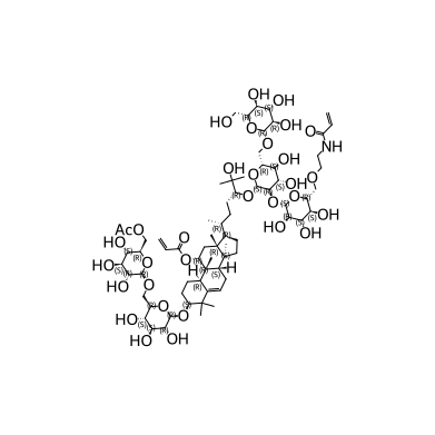 C=CC(=O)NCCOC[C@H]1O[C@@H](O[C@H]2[C@H](O[C@H](CC[C@@H](C)[C@H]3CC[C@@]4(C)[C@@H]5CC=C6[C@@H](CC[C@H](O[C@@H]7O[C@H](CO[C@@H]8O[C@H](COC(C)=O)[C@@H](O)[C@H](O)[C@H]8O)[C@@H](O)[C@H](O)[C@H]7O)C6(C)C)[C@]5(C)[C@H](OC(=O)C=C)C[C@]34C)C(C)(C)O)O[C@H](CO[C@@H]3O[C@H](CO)[C@@H](O)[C@H](O)[C@H]3O)[C@@H](O)[C@@H]2O)[C@H](O)[C@@H](O)[C@@H]1O